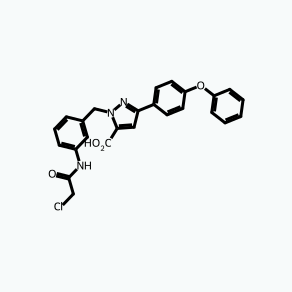 O=C(CCl)Nc1cccc(Cn2nc(-c3ccc(Oc4ccccc4)cc3)cc2C(=O)O)c1